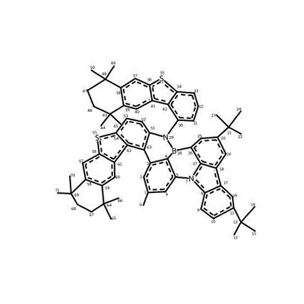 Cc1cc2c3c(c1)-n1c4ccc(C(C)(C)C)cc4c4cc(C(C)(C)C)cc(c41)B3N(c1cccc3sc4cc5c(cc4c13)C(C)(C)CCC5(C)C)c1ccc3sc4cc5c(cc4c3c1-2)C(C)(C)CCC5(C)C